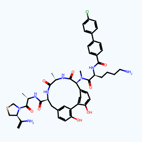 C=C(N)[C@H]1CSCN1C(=O)[C@H](C)NC(=O)[C@@H]1Cc2ccc(O)c(c2)-c2cc(ccc2O)[C@H](N(C)C(=O)[C@H](CCCCN)NC(=O)c2ccc(-c3ccc(Cl)cc3)cc2)C(=O)N[C@@H](C)C(=O)N1